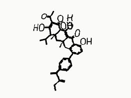 C=C(CC)C(C)c1ccc(-c2ccc(O)c3c2C[C@]2(C)C[C@]4(C)C(C(C)C)C(O)=C(C(C)=O)C(=O)[C@]4(O)C(O)=C2C3=O)cc1